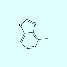 Cc1cccc2o[c]nc12